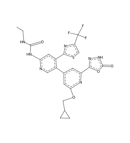 CCNC(=O)Nc1cc(-c2nc(C(F)(F)F)cs2)c(-c2cc(OCC3CC3)nc(-c3n[nH]c(=O)o3)c2)cn1